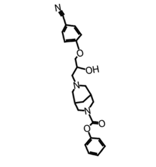 N#Cc1ccc(OCC(O)CN2CC3CC(C2)CN(C(=O)Oc2ccccc2)C3)cc1